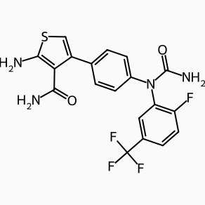 NC(=O)c1c(-c2ccc(N(C(N)=O)c3cc(C(F)(F)F)ccc3F)cc2)csc1N